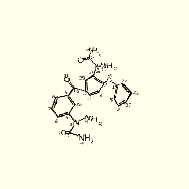 NC(=O)N(N)c1cccc(C(=O)c2ccc(Oc3ccccc3)c(N(N)C(N)=O)c2)c1